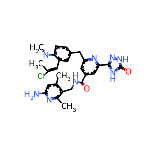 C=Nc1ccc(Cc2cc(C(=O)NCc3c(C)cc(N)nc3C)cc(-c3n[nH]c(=O)[nH]3)n2)cc1/C=C(\C)Cl